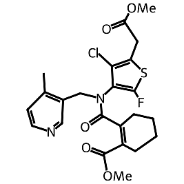 COC(=O)Cc1sc(F)c(N(Cc2cnccc2C)C(=O)C2=C(C(=O)OC)CCCC2)c1Cl